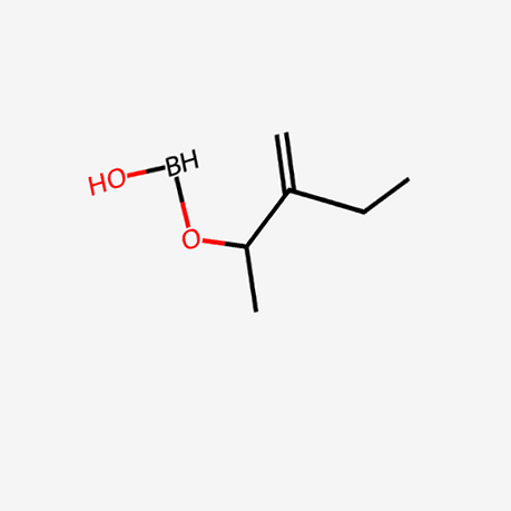 C=C(CC)C(C)OBO